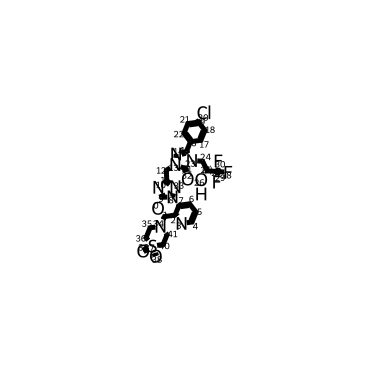 O=C(c1ncccc1-n1cnc(Cn2nc(-c3ccc(Cl)cc3)n(C[C@@H](O)C(F)(F)F)c2=O)n1)N1CCS(=O)(=O)CC1